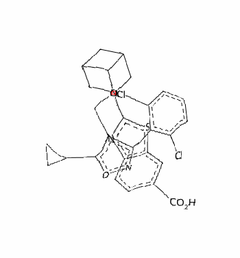 O=C(O)c1ccc2nc(N3CC4CC(C3)C4OCc3c(-c4c(Cl)cccc4Cl)noc3C3CC3)sc2c1